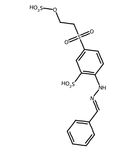 O=S(=O)(O)OCCS(=O)(=O)c1ccc(NN=Cc2ccccc2)c(S(=O)(=O)O)c1